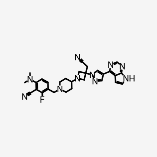 CN(C)c1ccc(CN2CCC(N3CC(CC#N)(n4cc(-c5ncnc6[nH]ccc56)cn4)C3)CC2)c(F)c1C#N